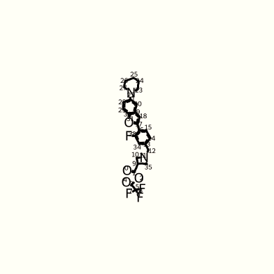 O=C(OC(=O)C(F)(F)F)C1CN(Cc2ccc(-c3cc4cc(N5CCCCC5)ccc4o3)c(F)c2)C1